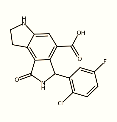 O=C(O)c1cc2c(c3c1C(c1cc(F)ccc1Cl)NC3=O)CCN2